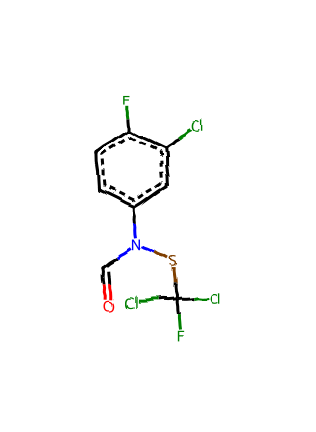 O=CN(SC(F)(Cl)Cl)c1ccc(F)c(Cl)c1